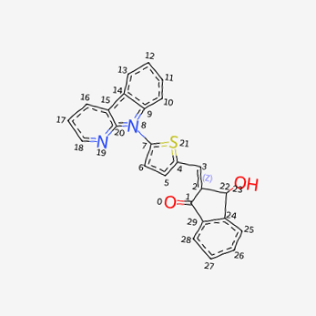 O=C1/C(=C\c2ccc(-n3c4ccccc4c4cccnc43)s2)C(O)c2ccccc21